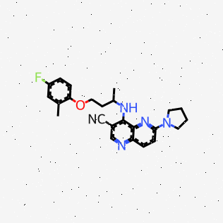 Cc1cc(F)ccc1OCCC(C)Nc1c(C#N)cnc2ccc(N3CCCC3)nc12